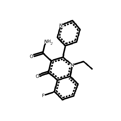 CCn1c(-c2cccnc2)c(C(N)=O)c(=O)c2c(F)cccc21